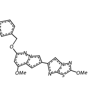 COc1nn2cc(-c3cc4c(OC)cc(OCc5ccccc5)nn4c3)nc2s1